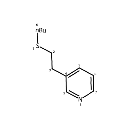 CCCCSCCc1cccnc1